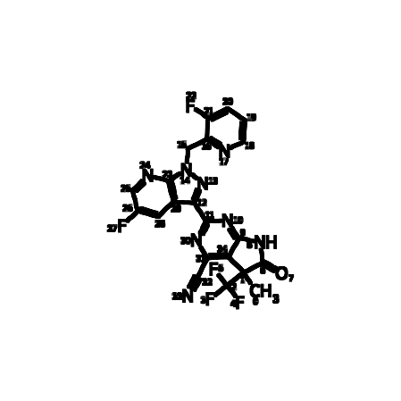 CC1(C(F)(F)F)C(=O)Nc2nc(-c3nn(Cc4ncccc4F)c4ncc(F)cc34)nc(C#N)c21